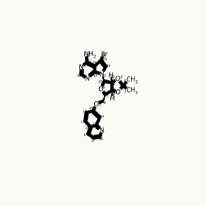 CC1(C)O[C@@H]2[C@H](O1)[C@@H](COc1ccc3cccnc3c1)O[C@H]2n1cc(Br)c2c(N)ncnc21